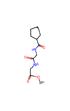 CC(C)(C)OC(=O)CNC(=O)CNC(=O)C1CCCC1